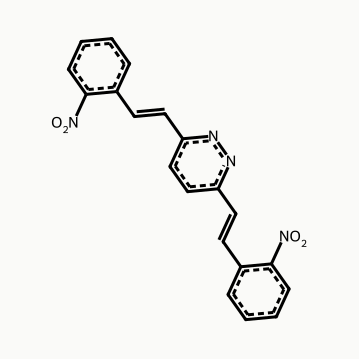 O=[N+]([O-])c1ccccc1C=Cc1ccc(C=Cc2ccccc2[N+](=O)[O-])nn1